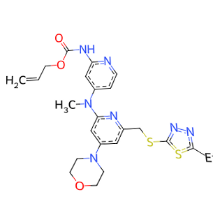 C=CCOC(=O)Nc1cc(N(C)c2cc(N3CCOCC3)cc(CSc3nnc(CC)s3)n2)ccn1